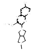 CN1CC2CN(c3nc4ncc(Br)cc4nc3NN)CC2C1